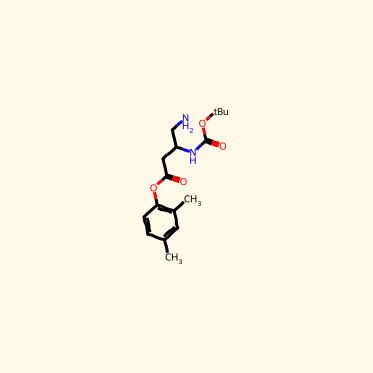 Cc1ccc(OC(=O)CC(CN)NC(=O)OC(C)(C)C)c(C)c1